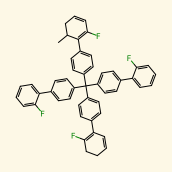 CC1CC=CC(F)=C1c1ccc(C(c2ccc(C3=C(F)CCC=C3)cc2)(c2ccc(-c3ccccc3F)cc2)c2ccc(-c3ccccc3F)cc2)cc1